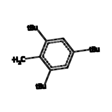 [CH2]c1c(C(C)(C)C)cc(C(C)(C)C)cc1C(C)(C)C